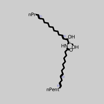 CCC/C=C/CCCCCCCC/C=C/[C@@H](O)[C@H](CO)NC(=O)CCCCCCC/C=C/C/C=C/CCCCC